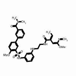 C=N/C(=C\C(=C\C)C(=O)NCCNc1cccc(NS(=O)(=O)c2cc(-c3cccc(C(=O)N(C)C)c3)ccc2OC)c1)OC